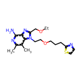 CCOCc1nc2c(N)nc(C)c(C)c2n1CCOCCCc1nccs1